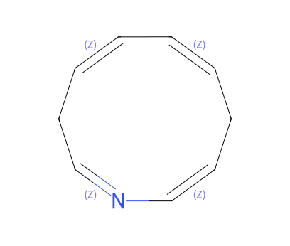 C1=C\C/C=C\N=C/C\C=C/1